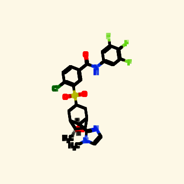 C[C@H]1CC2CC(S(=O)(=O)c3cc(C(=O)Nc4cc(F)c(F)c(F)c4)ccc3Cl)CC1[C@@]2(O)c1nccn1C